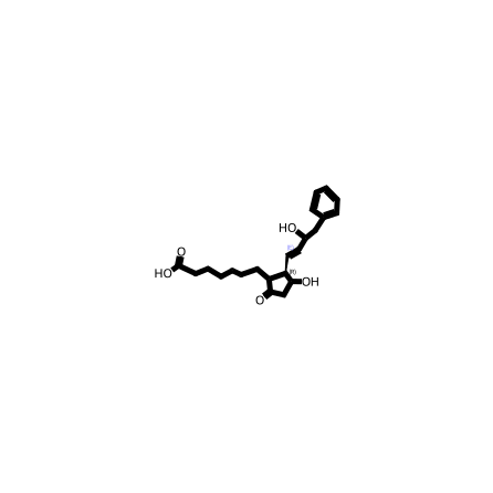 O=C(O)CCCCCCC1C(=O)CC(O)[C@@H]1/C=C/C(O)Cc1ccccc1